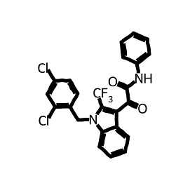 O=C(Nc1ccccc1)C(=O)c1c(C(F)(F)F)n(Cc2ccc(Cl)cc2Cl)c2ccccc12